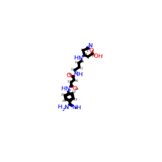 N#CCC(CC(=O)O)NCCCCNC(=O)CCC(=O)Nc1ccc(C(=N)N)cc1